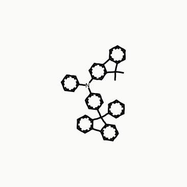 CC1(C)c2ccccc2-c2ccc(N(c3ccccc3)c3ccc(C4(c5ccccc5)c5ccccc5-c5ccccc54)cc3)cc21